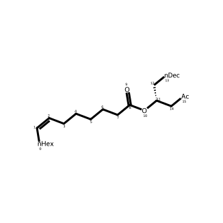 CCCCCC/C=C\CCCCCC(=O)O[C@H](CCCCCCCCCCC)CC(C)=O